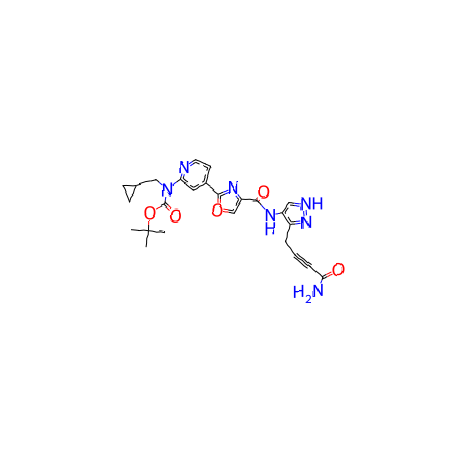 CC(C)(C)OC(=O)N(CC1CC1)c1cc(-c2nc(C(=O)Nc3c[nH]nc3CC#CC(N)=O)co2)ccn1